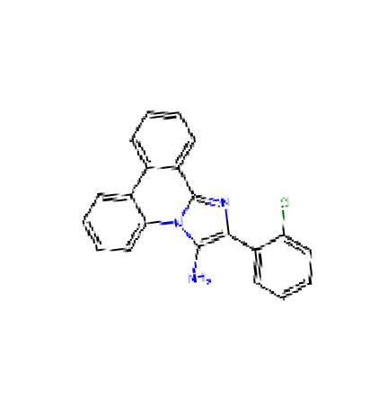 Nc1c(-c2ccccc2Cl)nc2c3ccccc3c3ccccc3n12